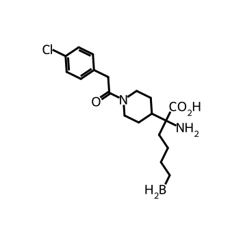 BCCCCC(N)(C(=O)O)C1CCN(C(=O)Cc2ccc(Cl)cc2)CC1